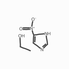 CCO.O=[N+]([O-])c1cnc[nH]1